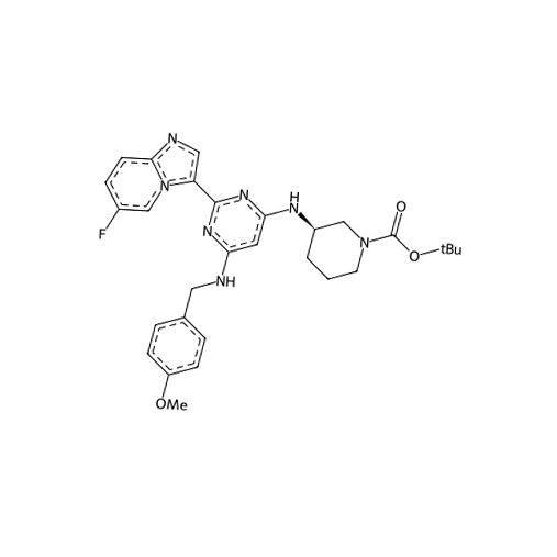 COc1ccc(CNc2cc(N[C@@H]3CCCN(C(=O)OC(C)(C)C)C3)nc(-c3cnc4ccc(F)cn34)n2)cc1